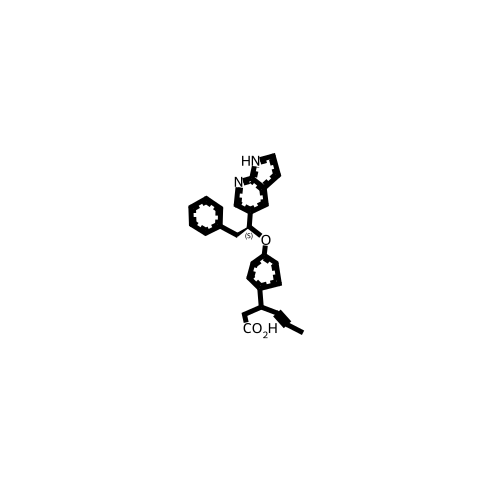 CC#CC(CC(=O)O)c1ccc(O[C@@H](Cc2ccccc2)c2cnc3[nH]ccc3c2)cc1